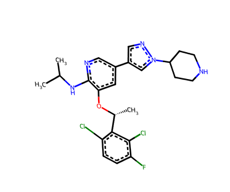 CC(C)Nc1ncc(-c2cnn(C3CCNCC3)c2)cc1O[C@H](C)c1c(Cl)ccc(F)c1Cl